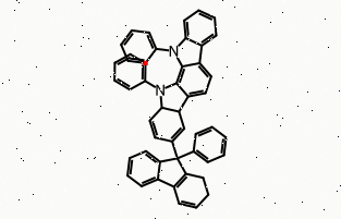 C1=CC2=C(CC1)C(C1=CC3c4ccc5c6ccccc6n(-c6ccccc6)c5c4N(c4ccccc4)C3C=C1)(c1ccccc1)c1ccccc12